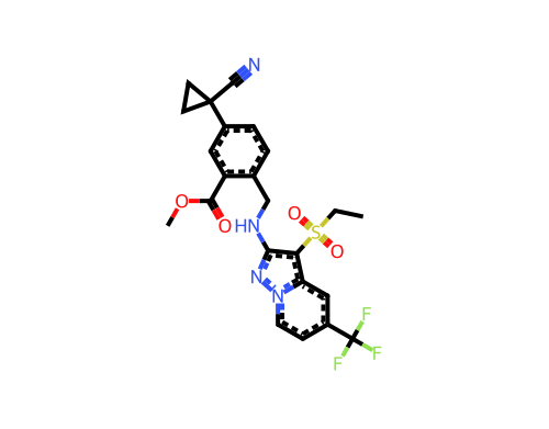 CCS(=O)(=O)c1c(NCc2ccc(C3(C#N)CC3)cc2C(=O)OC)nn2ccc(C(F)(F)F)cc12